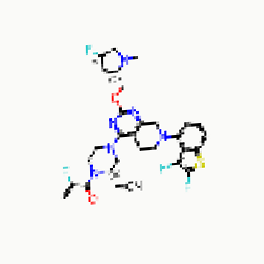 C=C(F)C(=O)N1CCN(c2nc(OC[C@@H]3C[C@@H](F)CN3C)nc3c2CCN(c2cccc4sc(F)c(F)c24)C3)C[C@@H]1CC#N